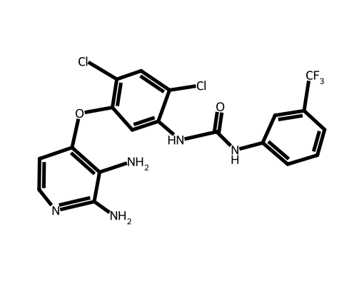 Nc1nccc(Oc2cc(NC(=O)Nc3cccc(C(F)(F)F)c3)c(Cl)cc2Cl)c1N